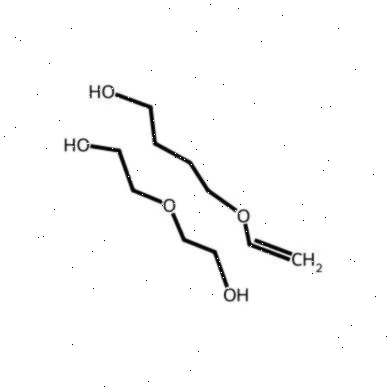 C=COCCCCO.OCCOCCO